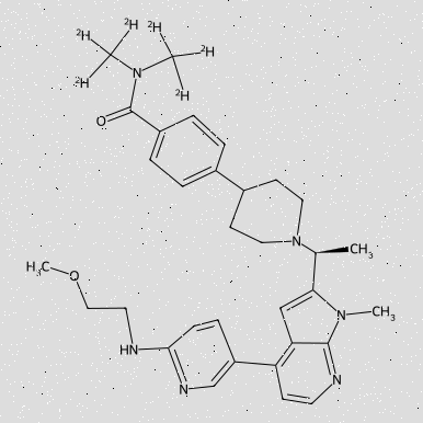 [2H]C([2H])([2H])N(C(=O)c1ccc(C2CCN([C@@H](C)c3cc4c(-c5ccc(NCCOC)nc5)ccnc4n3C)CC2)cc1)C([2H])([2H])[2H]